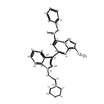 CCOC(=O)c1cnn2c(N(C)Cc3ccccc3)cc(-c3cn(CCN4CCCCC4)c4ncccc34)nc12